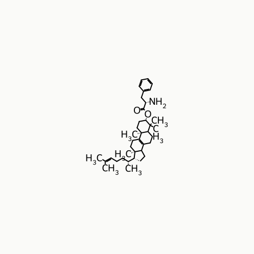 CC(C)=CCC[C@@H](C)[C@H]1CCC2C3=C(CC[C@@]21C)[C@@]1(C)CC[C@H](OC(=O)[C@@H](N)Cc2ccccc2)C(C)(C)C1CC3